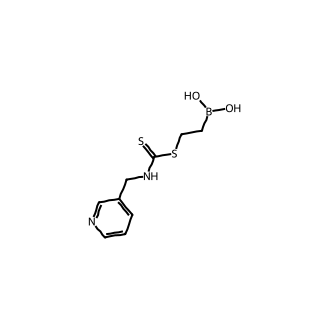 OB(O)CCSC(=S)NCc1cccnc1